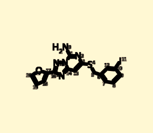 Nc1nc(SCc2cccc(I)c2)cc2nc(-c3ccco3)nn12